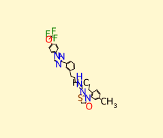 CCCc1ccc(C)cc1N1C(=O)CS/C1=N\CNCCCc1cccc(-c2ncn(-c3ccc(OC(F)(F)F)cc3)n2)c1